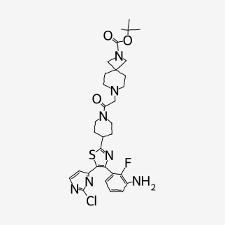 CC(C)(C)OC(=O)N1CC2(CCN(CC(=O)N3CCC(c4nc(-c5cccc(N)c5F)c(-c5ccnc(Cl)n5)s4)CC3)CC2)C1